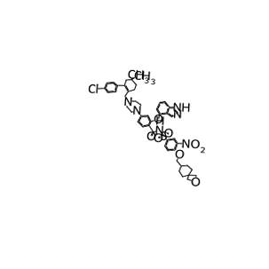 CC1(C)CCC(CN2CCN(c3ccc(C(=O)NS(=O)(=O)c4ccc(OCC5CCC6(CC5)COC6)c([N+](=O)[O-])c4)c(Oc4cccc5[nH]ncc45)c3)CC2)=C(c2ccc(Cl)cc2)C1